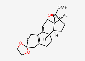 COC(=O)[C@]1(C(C)=O)CC[C@H]2[C@@H]3CCC4=C(CCC5(C4)OCCO5)C3=CC[C@@]21C